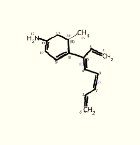 C=C/C=C\C=C(/C=C)C1=CC=C(N)C[C@@H]1C